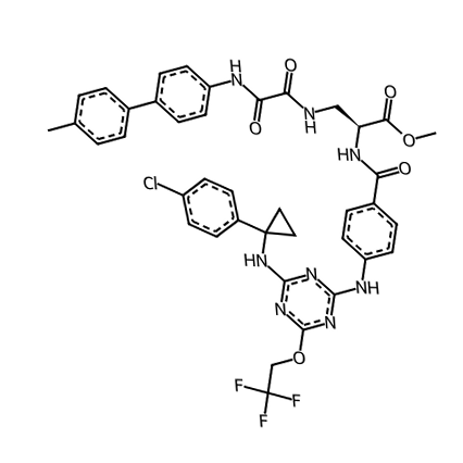 COC(=O)[C@H](CNC(=O)C(=O)Nc1ccc(-c2ccc(C)cc2)cc1)NC(=O)c1ccc(Nc2nc(NC3(c4ccc(Cl)cc4)CC3)nc(OCC(F)(F)F)n2)cc1